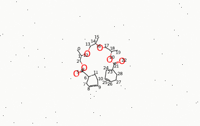 CC(COC(=O)C1CC=CCC1)OCC(C)OCC(C)OC(=O)C1CC=CCC1